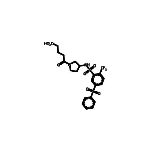 O=C(O)CCCC(=O)N1CCC(NS(=O)(=O)c2cc(S(=O)(=O)c3ccccc3)ccc2C(F)(F)F)C1